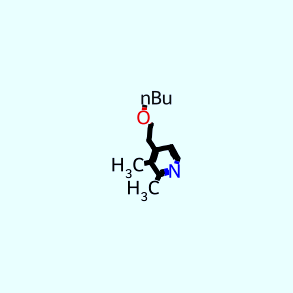 CCCCOCCc1ccnc(C)c1C